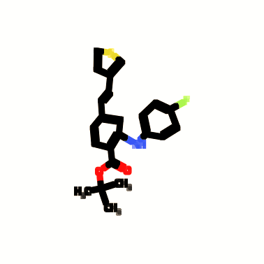 CC(C)(C)OC(=O)c1ccc(C=Cc2ccsc2)cc1Nc1ccc(F)cc1